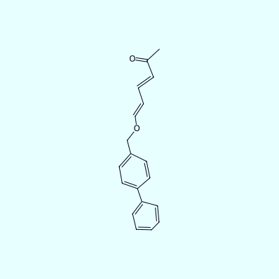 CC(=O)C=CC=COCc1ccc(-c2ccccc2)cc1